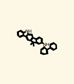 CC1(C)c2cc(Nc3ccccc3C3=CCCC=C3)ccc2-c2cc3[nH]c4ccccc4c3cc21